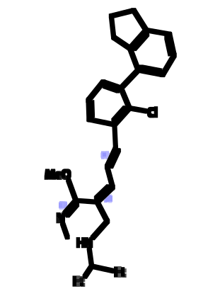 CCC(CC)NCC(=C/C=C/c1cccc(-c2cccc3c2CCC3)c1Cl)/C(=N\C)OC